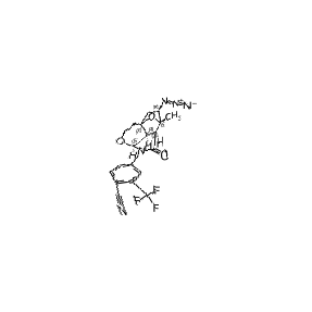 C[C@]12O[C@@]3(CCO[C@H]4[C@@H]3[C@@H]1C(=O)N4c1ccc(C#N)c(C(F)(F)F)c1)C[C@H]2N=[N+]=[N-]